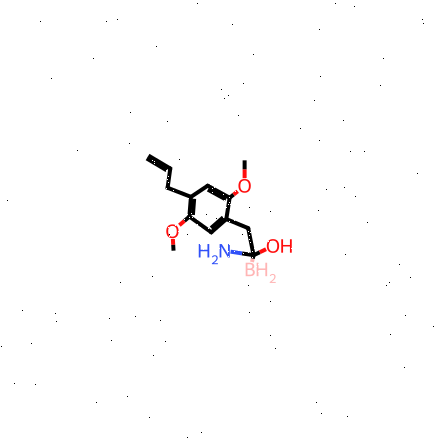 BC(N)(O)Cc1cc(OC)c(CC=C)cc1OC